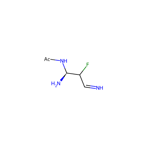 CC(=O)N[C@H](N)C(F)C=N